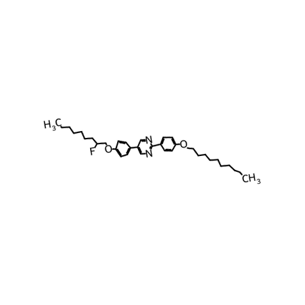 CCCCCCCCCCCOc1ccc(-c2ncc(-c3ccc(OCC(F)CCCCCCC)cc3)cn2)cc1